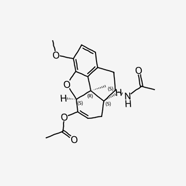 COc1ccc2c3c1O[C@@H]1C(OC(C)=O)=CC[C@H]([C@@H](NC(C)=O)C2)[C@]31C